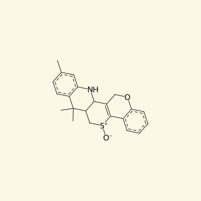 Cc1ccc2c(c1)NC1C3=C(c4ccccc4OC3)[S+]([O-])CC1C2(C)C